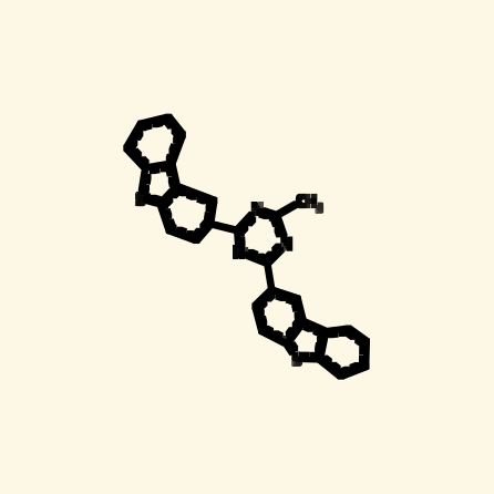 Cc1nc(-c2ccc3sc4ccccc4c3c2)nc(-c2ccc3sc4ccccc4c3c2)n1